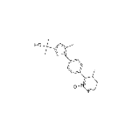 Cc1cc(C(C)(C)O)cn1-c1ccc(C2=[N+]([O-])N=CCC2C)cc1